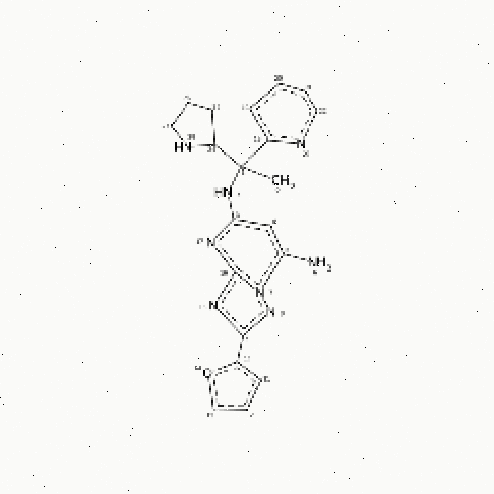 CC(Nc1cc(N)n2nc(-c3ccco3)nc2n1)(c1ccccn1)C1CCCN1